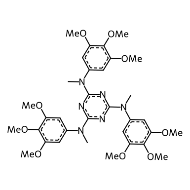 COc1cc(N(C)c2nc(N(C)c3cc(OC)c(OC)c(OC)c3)nc(N(C)c3cc(OC)c(OC)c(OC)c3)n2)cc(OC)c1OC